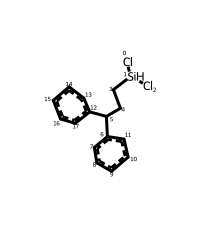 Cl[SiH](Cl)CCC(c1ccccc1)c1ccccc1